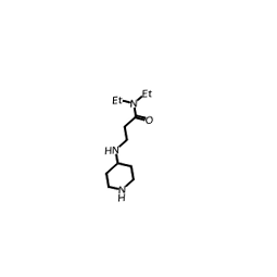 CCN(CC)C(=O)CCNC1CCNCC1